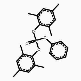 Cc1cc(C)c(OP(=O)(Oc2ccccc2)Oc2c(C)cc(C)cc2C)c(C)c1